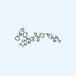 Nc1nc2sc(C(=O)Nc3ccc(CN4CCN(c5ncc(F)cn5)CC4)cc3)cc2n(-c2ccc3c(c2)N(c2ccccc2)CCO3)c1=O